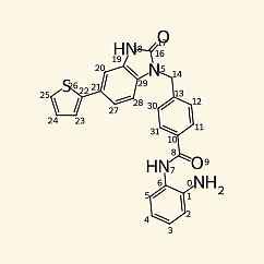 Nc1ccccc1NC(=O)c1ccc(Cn2c(=O)[nH]c3cc(-c4cccs4)ccc32)cc1